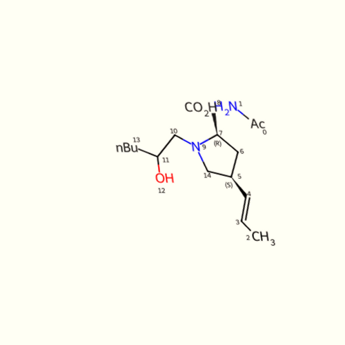 CC(N)=O.CC=C[C@@H]1C[C@H](C(=O)O)N(CC(O)CCCC)C1